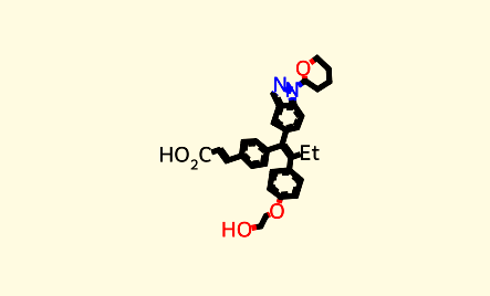 CC/C(=C(/c1ccc(/C=C/C(=O)O)cc1)c1ccc2c(cnn2C2CCCCO2)c1)c1ccc(OCCO)cc1